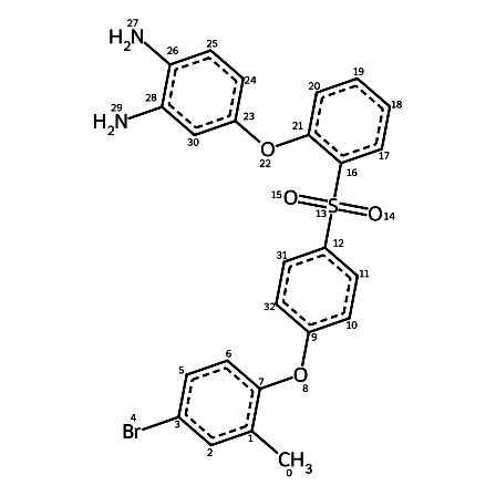 Cc1cc(Br)ccc1Oc1ccc(S(=O)(=O)c2ccccc2Oc2ccc(N)c(N)c2)cc1